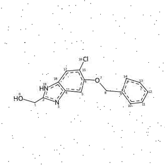 OCc1nc2cc(OCc3ccccc3)c(Cl)cc2[nH]1